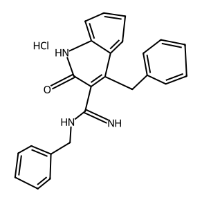 Cl.N=C(NCc1ccccc1)c1c(Cc2ccccc2)c2ccccc2[nH]c1=O